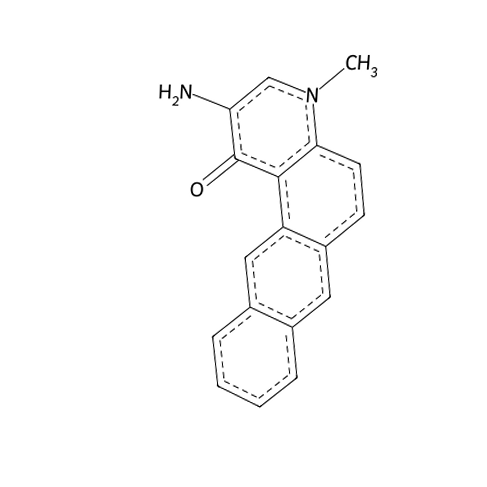 Cn1cc(N)c(=O)c2c3cc4ccccc4cc3ccc21